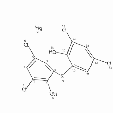 Oc1c(Cl)cc(Cl)cc1Sc1cc(Cl)cc(Cl)c1O.[Hg]